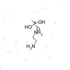 CP(=O)(O)O.NCCN